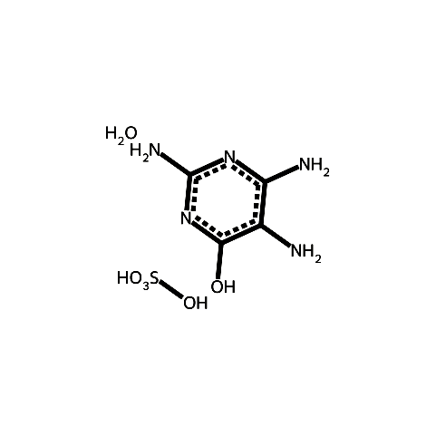 Nc1nc(N)c(N)c(O)n1.O.O=S(=O)(O)O